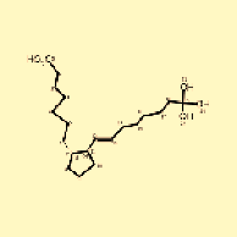 O=C(O)CCCCCC[C@H]1CCC[C@@H]1C=CCCCCCC(O)(O)O